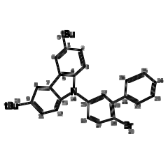 CC(C)(C)c1ccc2c(c1)c1cc(C(C)(C)C)ccc1n2-c1ccc(Br)c(-c2ccccc2)c1